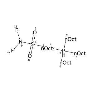 CCCCCCCC[PH](CCCCCCCC)(CCCCCCCC)CCCCCCCC.CS(=O)(=O)N(F)F